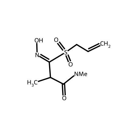 C=CCS(=O)(=O)C(=NO)C(C)C(=O)NC